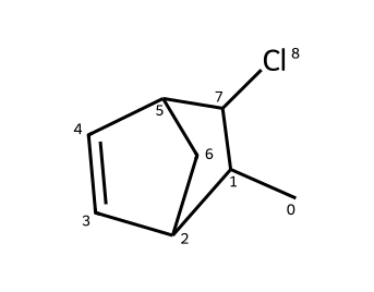 CC1C2C=CC(C2)C1Cl